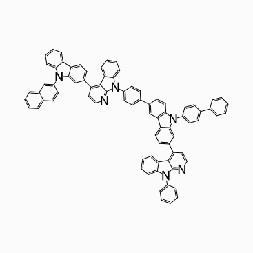 c1ccc(-c2ccc(-n3c4ccc(-c5ccc(-n6c7ccccc7c7c(-c8ccc9c%10ccccc%10n(-c%10ccc%11ccccc%11c%10)c9c8)ccnc76)cc5)cc4c4ccc(-c5ccnc6c5c5ccccc5n6-c5ccccc5)cc43)cc2)cc1